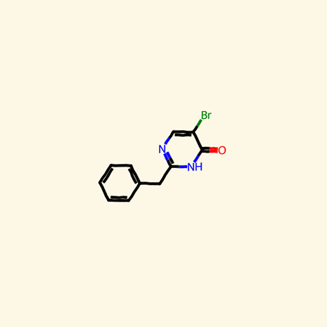 O=c1[nH]c(Cc2ccccc2)ncc1Br